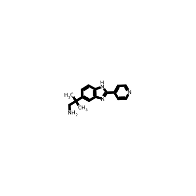 CC(C)(CN)c1ccc2[nH]c(-c3ccncc3)nc2c1